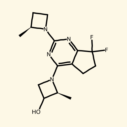 C[C@H]1CCN1c1nc(N2CC(O)[C@@H]2C)c2c(n1)C(F)(F)CC2